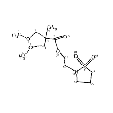 COCC(C)(COC)C(=O)OCCN1CCCS1(=O)=O